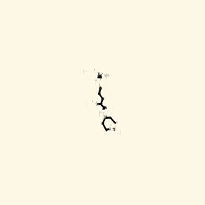 CN1CCC(NC(=O)C(N)CCCNC(=N)N)CC1